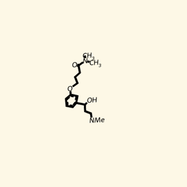 CNCCC(O)c1cccc(OCCCC(=O)N(C)C)c1